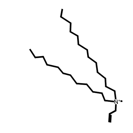 C=CC[N+](C)(CCCCCCCCCCCC)CCCCCCCCCCCCC